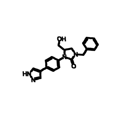 O=C1N(Cc2ccccc2)CC(CO)N1c1ccc(-c2cn[nH]c2)cc1